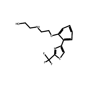 OCCNCCOc1ccccc1-c1csc(C(F)(F)F)n1